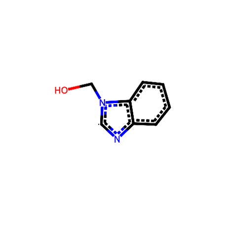 OCn1[c]nc2ccccc21